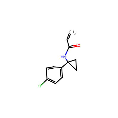 C=CC(=O)NC1(c2ccc(Cl)cc2)CC1